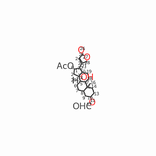 CC(=O)OC1CC2(O)[C@@H]3CCC4CC(OC=O)CCC4(C)C3CC[C@]2(C)C1C1=CC(=O)OC1